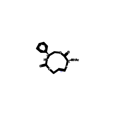 CC(=O)N[C@@H]1C/C=C/CCC(=O)N[C@H](c2ccccc2)COC1=O